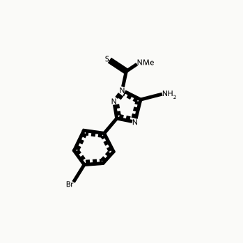 CNC(=S)n1nc(-c2ccc(Br)cc2)nc1N